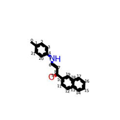 Cc1ccc(N/C=C/C(=O)c2ccc3ccccc3c2)cc1